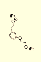 CC(C)OCCOc1cccc(CCOOC(C)C)c1